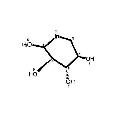 O[CH]1[In][CH2][C@@H](O)[C@H](O)[C@H]1O